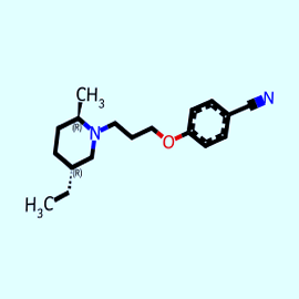 CC[C@@H]1CC[C@@H](C)N(CCCOc2ccc(C#N)cc2)C1